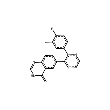 C=C1NC=Nc2ccc(-c3cccnc3-c3ccc(F)c(C)c3)cc21